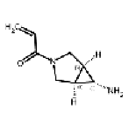 C=CC(=O)N1C[C@@H]2[C@@H](N)[C@@H]2C1